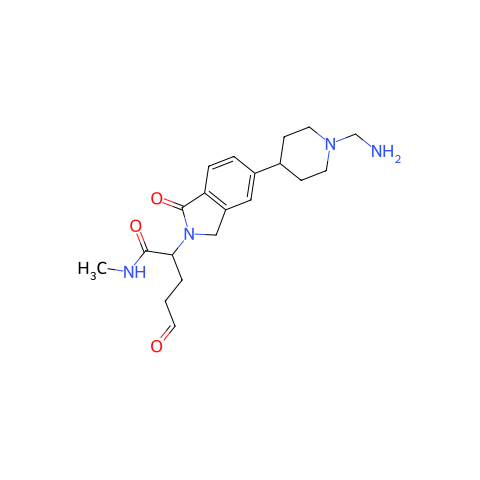 CNC(=O)C(CCC=O)N1Cc2cc(C3CCN(CN)CC3)ccc2C1=O